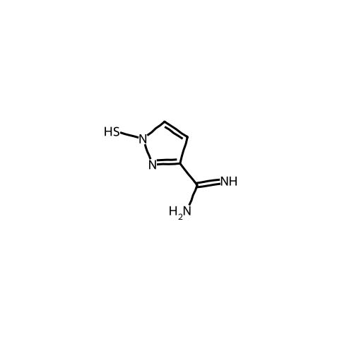 N=C(N)c1ccn(S)n1